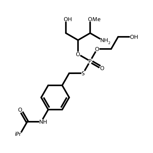 COC(N)C(CO)OP(=O)(OCCO)SCC1C=CC(NC(=O)C(C)C)=CC1